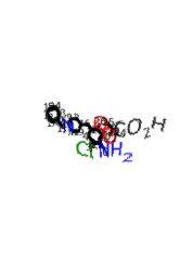 Nc1c(Cl)cc(CC2CCN(Cc3ccccc3)CC2)c2c1OC(C(=O)O)CO2